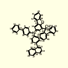 CC1(c2cc(N(c3ccc(-c4ccccc4)cc3)c3ccc(-c4cccc5ccccc45)cc3)cc3c2oc2ccccc23)c2ccccc2-c2ccccc21